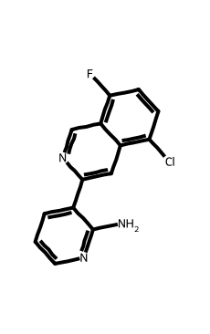 Nc1ncccc1-c1cc2c(Cl)ccc(F)c2cn1